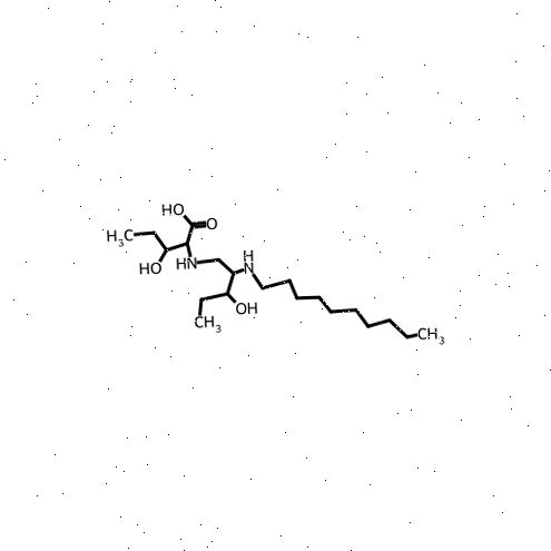 CCCCCCCCCCNC(CNC(C(=O)O)C(O)CC)C(O)CC